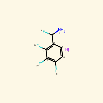 I.NC(F)c1ccc(F)c(F)c1F